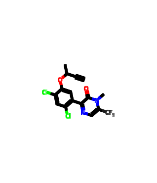 C#CC(C)Oc1cc(-c2ncc(C(F)(F)F)n(C)c2=O)c(Cl)cc1Cl